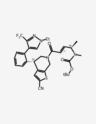 CCn1cc(-c2ccccc2[C@@H]2CN(C(=O)/C=C/[C@@H](C)N(C)C(=O)OC(C)(C)C)Cc3sc(C#N)cc32)c(C(F)(F)F)n1